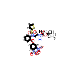 CC(C)(C)OC(=O)NCCN(c1ccccc1Oc1ccc([N+](=O)[O-])c([N+](=O)[O-])c1)S(=O)(=O)c1cccs1